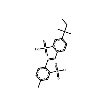 CCC(C)(C)c1ccc(C=Cc2ccc(C)cc2S(=O)(=O)O)c(S(=O)(=O)O)c1